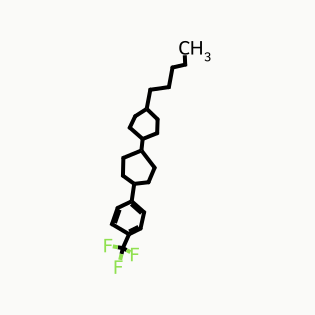 CCCCCC1CCC(C2CCC(c3ccc(C(F)(F)F)cc3)CC2)CC1